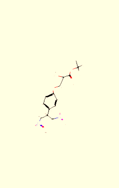 CC(C)(C)OC(=O)C(O)COc1ccc(C(C[N+](=O)[O-])C[N+](=O)[O-])cc1